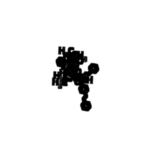 CC(C)C[C@H](NC(=O)[C@H](CCc1ccccc1)NC(=O)c1ccc(CCc2ccccc2)cc1)C(=O)N[C@@H](Cc1ccccc1)C(=O)N[C@@H](CC(C)C)C(=O)[C@@]1(C)CO1